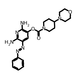 Nc1nc(N)c(OC(=O)N2CCC(N3CCOCC3)CC2)cc1/N=N/c1ccccc1